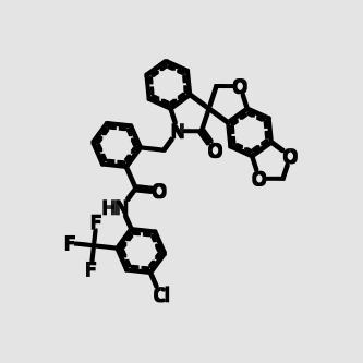 O=C(Nc1ccc(Cl)cc1C(F)(F)F)c1ccccc1CN1C(=O)C2(COc3cc4c(cc32)OCO4)c2ccccc21